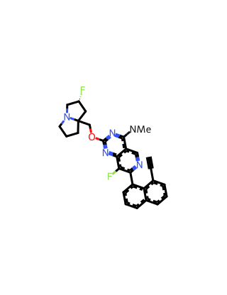 C#Cc1cccc2cccc(-c3ncc4c(NC)nc(OCC56CCCN5C[C@H](F)C6)nc4c3F)c12